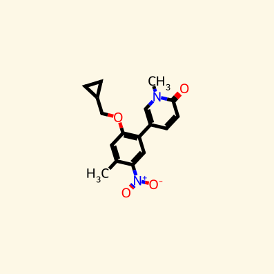 Cc1cc(OCC2CC2)c(-c2ccc(=O)n(C)c2)cc1[N+](=O)[O-]